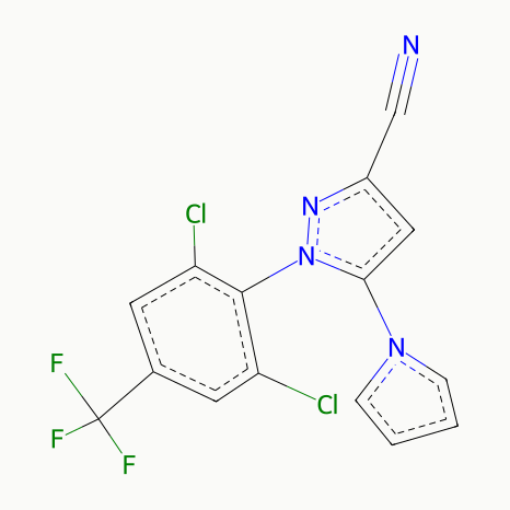 N#Cc1cc(-n2cccc2)n(-c2c(Cl)cc(C(F)(F)F)cc2Cl)n1